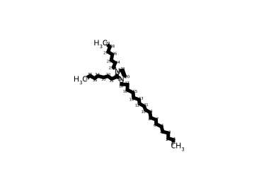 CCCCCCCCCCCCCCCCCCCN1C=CN(CCCCCCC)C1CCCCCCC